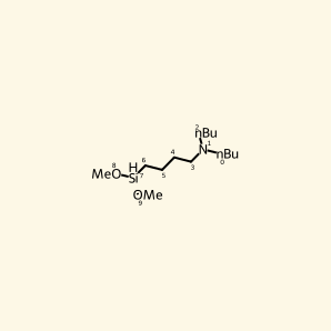 CCCCN(CCCC)CCCC[SiH](OC)OC